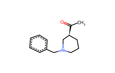 CC(=O)[C@H]1CCCN(Cc2ccccc2)C1